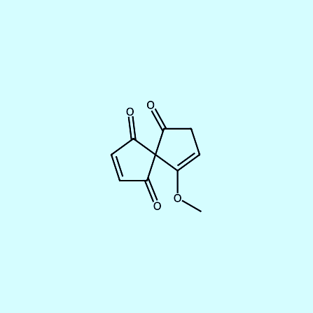 COC1=CCC(=O)C12C(=O)C=CC2=O